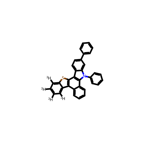 [2H]c1c([2H])c([2H])c2c(sc3c2c2ccccc2c2c3c3ccc(-c4ccccc4)cc3n2-c2ccccc2)c1[2H]